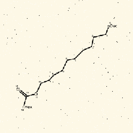 CCCCCCCCCCCCCCCCCCCCOC(=O)CCCCCC